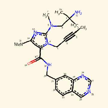 CC#CCn1c(N(C)CC(C)(C)N)nc(NC)c1C(=O)NCc1ccc2cncnc2c1